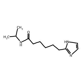 CC(C)NC(=O)CCCCCc1n[c]c[nH]1